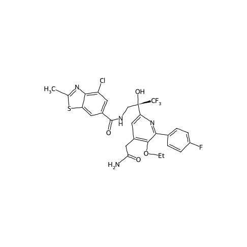 CCOc1c(CC(N)=O)cc([C@@](O)(CNC(=O)c2cc(Cl)c3nc(C)sc3c2)C(F)(F)F)nc1-c1ccc(F)cc1